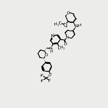 CO[C@H]1COCC[C@H]1NC1CCN(C(=O)c2cncc(NC[C@H]3CCC[C@@H](c4ccc(OC(F)(F)F)cc4)O3)c2C)CC1